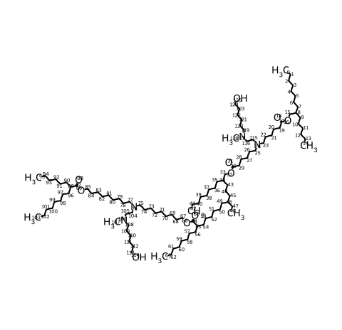 CCCCCCCCC(CCCCCC)COC(=O)CCCCCN(CCCCCC(=O)OCC(CCCCCCCC)CCCC(CC)CCCCCCC(CCCCCCCC)C(=O)OCCCCCCCCCN(CCCCCCCCCOC(=O)C(CCCCCC)CCCCCCCC)CCN(C)CCCCCCO)CCN(C)CCCCCCO